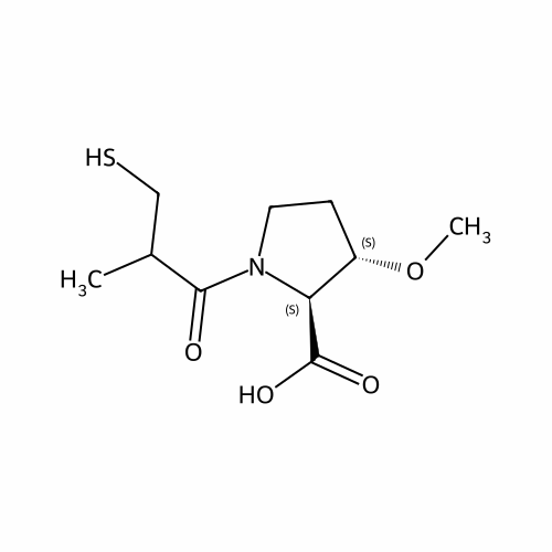 CO[C@H]1CCN(C(=O)C(C)CS)[C@@H]1C(=O)O